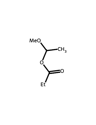 CCC(=O)O[C](C)OC